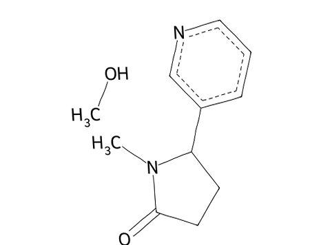 CN1C(=O)CCC1c1cccnc1.CO